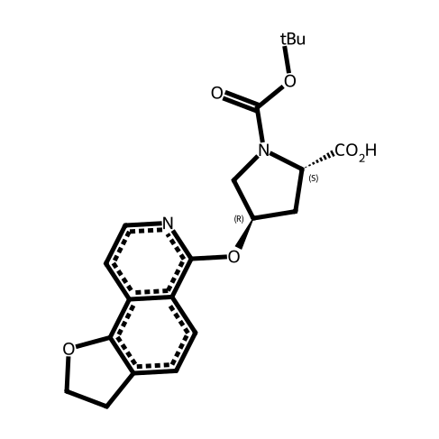 CC(C)(C)OC(=O)N1C[C@H](Oc2nccc3c4c(ccc23)CCO4)C[C@H]1C(=O)O